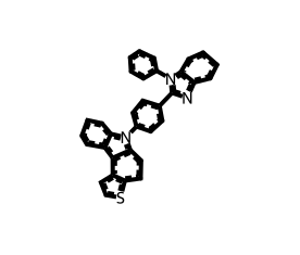 c1ccc(-n2c(-c3ccc(-n4c5ccccc5c5c6ccsc6ccc54)cc3)nc3ccccc32)cc1